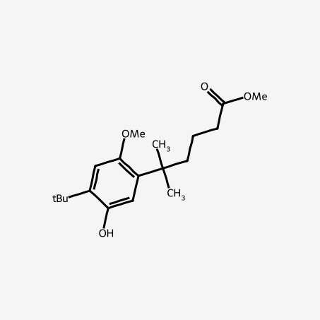 COC(=O)CCCC(C)(C)c1cc(O)c(C(C)(C)C)cc1OC